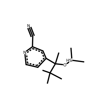 C[SiH](C)OC(C)(c1ccnc(C#N)c1)C(C)(C)C